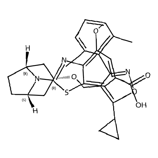 COc1cc(C(=O)O)cc2sc(N3[C@@H]4CC[C@H]3C[C@@H](OCc3c(-c5c(C)cccc5C)noc3C3CC3)C4)nc12